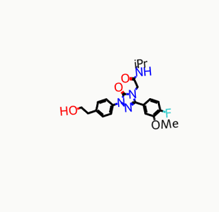 COc1cc(-c2nn(-c3ccc(CCO)cc3)c(=O)n2CC(=O)NC(C)C)ccc1F